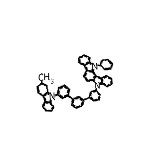 CC1C=Cc2c(n(-c3cccc(-c4cccc(-c5cccc(-n6c7ccccc7c7c6ccc6c8ccccc8n(C8C=CC=CC8)c67)c5)c4)c3)c3ccccc23)C1